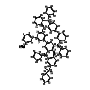 CC(C)(C)c1cccc(-c2cc(-c3cc4c5c(c3)N(c3ccccc3)c3cc(C(C)(C)c6ccccc6)ccc3B5c3ccccc3N4c3ccccc3)cc(-c3c4ccccc4c(-c4ccccc4)c4ccccc34)c2)c1